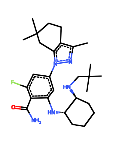 Cc1nn(-c2cc(F)c(C(N)=O)c(N[C@H]3CCCC[C@@H]3NCC(C)(C)C)c2)c2c1CCC(C)(C)C2